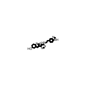 OC1CCc2nc3sc4c(NCCc5ccc6[nH]cnc6c5)ncnc4c3cc2C1